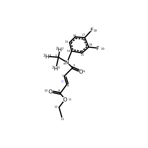 [2H]C([2H])([2H])N(C(=O)/C=C/C(=O)OCC)c1ccc(F)c(F)c1